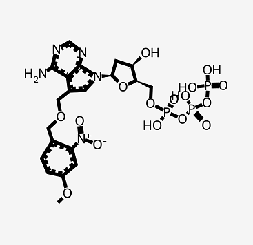 COc1ccc(COCc2cn([C@H]3C[C@@H](O)[C@@H](COP(=O)(O)OP(=O)(O)OP(=O)(O)O)O3)c3ncnc(N)c23)c([N+](=O)[O-])c1